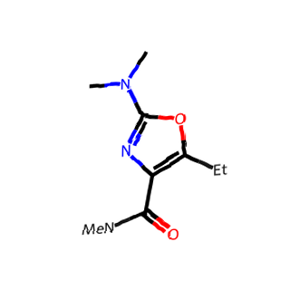 CCc1oc(N(C)C)nc1C(=O)NC